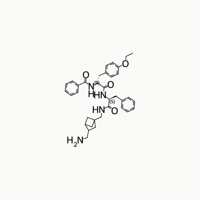 CCOc1ccc(C[C@@H](NC(=O)c2ccccc2)C(=O)N[C@@H](Cc2ccccc2)C(=O)NCC23CC(CN)C(C2)C3)cc1